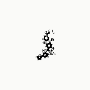 C=CC(=O)N1CCC(Nc2cc3c(Nc4cc(-c5ccco5)ccc4OC)ncnc3cc2OCC)CC1